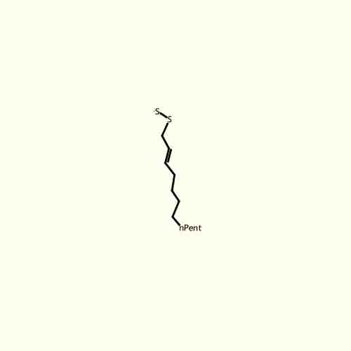 CCCCCCCCCC=CCS[S]